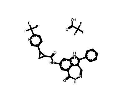 O=C(O)C(F)(F)F.O=C1NN=Cc2c(-c3ccccc3)[nH]c3cc(NC(=O)C4CC4c4ccc(C(F)(F)F)nc4)cc1c23